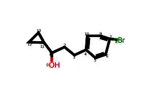 OC(CCc1ccc(Br)cc1)C1CC1